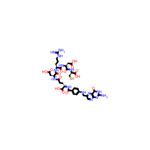 N=C(N)NCCC[C@H](NC(=O)[C@H](CC(=O)O)NC(=O)CC[C@H](NC(=O)c1ccc(NCc2cnc3nc(N)[nH]c(=O)c3n2)cc1)C(=O)O)C(=O)N[C@@H](CC(=O)O)C(=O)N[C@H](CS)C(=O)O